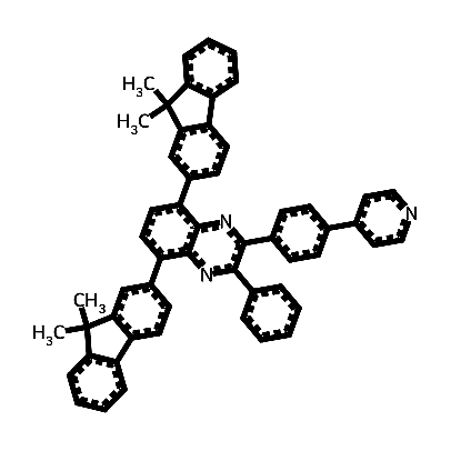 CC1(C)c2ccccc2-c2ccc(-c3ccc(-c4ccc5c(c4)C(C)(C)c4ccccc4-5)c4nc(-c5ccc(-c6ccncc6)cc5)c(-c5ccccc5)nc34)cc21